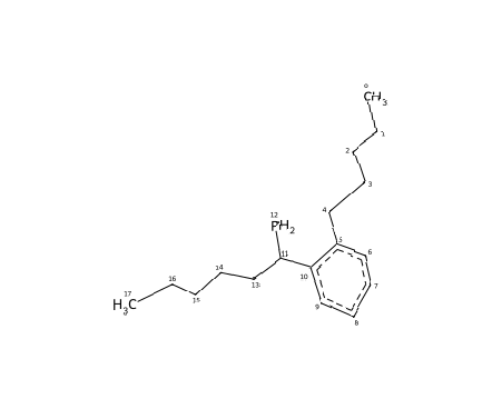 CCCCCc1ccccc1C(P)CCCCC